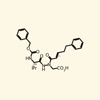 CC(C)[C@H](NC(=O)OCc1ccccc1)C(=O)NN(CC(=O)O)C(=O)/C=C/CCc1ccccc1